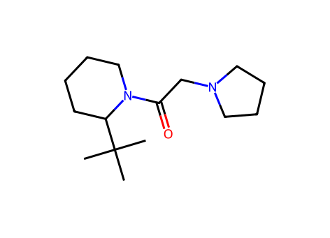 CC(C)(C)C1CCCCN1C(=O)CN1CCCC1